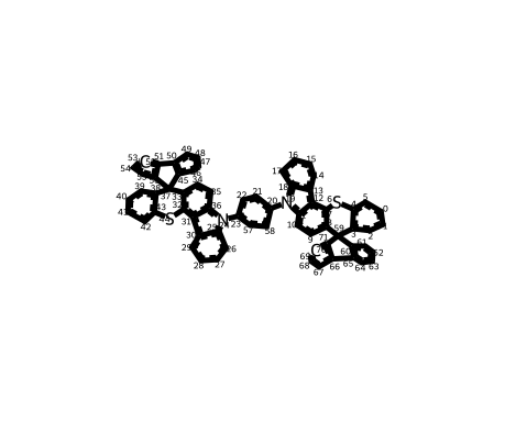 c1ccc2c(c1)Sc1c(ccc3c1c1ccccc1n3-c1ccc(-n3c4ccccc4c4c5c(ccc43)C3(c4ccccc4S5)c4ccccc4-c4ccccc43)cc1)C21c2ccccc2-c2ccccc21